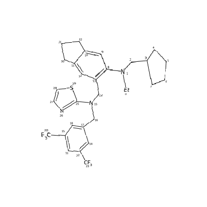 CCN(CC1CCCC1)c1cc2c(cc1CN(Cc1cc(C(F)(F)F)cc(C(F)(F)F)c1)c1nccs1)CCC2